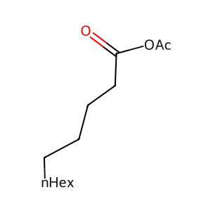 CCCCCCCCCCC(=O)OC(C)=O